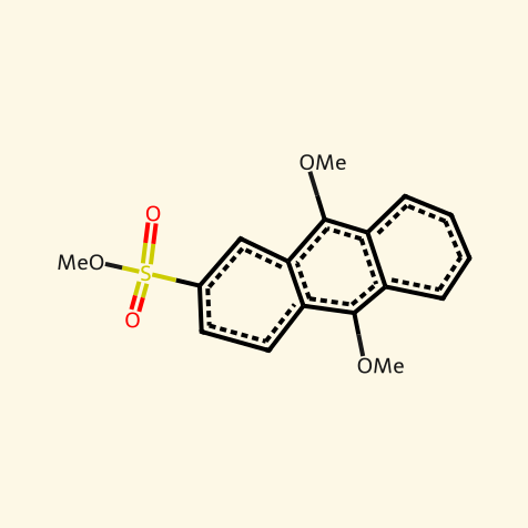 COc1c2ccccc2c(OC)c2cc(S(=O)(=O)OC)ccc12